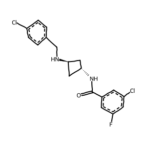 O=C(N[C@H]1C[C@H](NCc2ccc(Cl)cc2)C1)c1cc(F)cc(Cl)c1